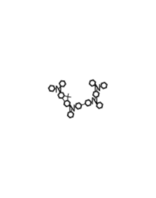 CC1(C)c2cc(N(c3ccccc3)c3ccccc3)ccc2-c2ccc(N(c3ccccc3)c3ccc(-c4ccc(N(c5ccccc5)c5ccc(N(c6ccccc6)c6ccccc6)cc5)cc4)cc3)cc21